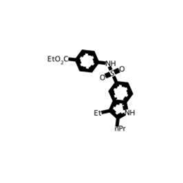 CCCc1[nH]c2ccc(S(=O)(=O)Nc3ccc(C(=O)OCC)cc3)cc2c1CC